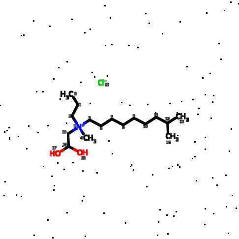 CCC[N+](C)(CCCCCCCC(C)C)CC(O)O.[Cl-]